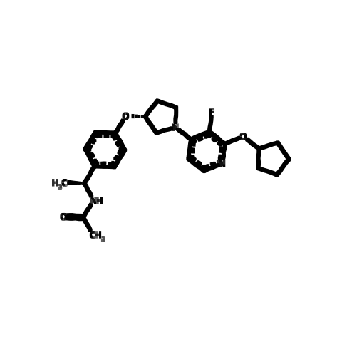 CC(=O)N[C@@H](C)c1ccc(O[C@@H]2CCN(c3ccnc(OC4CCCC4)c3F)C2)cc1